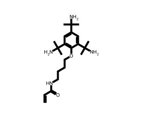 C=CC(=O)NCCCCOc1c(C(C)(C)N)cc(C(C)(C)N)cc1C(C)(C)N